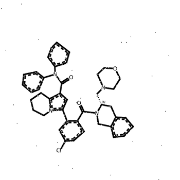 O=C(c1cc(-c2cc(Cl)ccc2C(=O)N2Cc3ccccc3C[C@H]2CN2CCOCC2)n2c1CCCC2)N(c1ccccc1)c1ccccc1